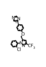 FC(F)(F)c1cc(COc2ccc(-n3cncn3)cc2)n(-c2ccccc2Cl)n1